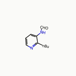 CCCCc1ncccc1NC=O